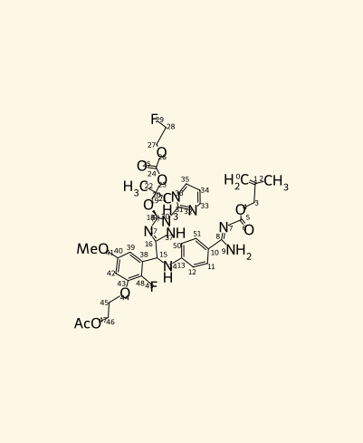 C=C(C)COC(=O)N=C(N)c1ccc(NC(C2=N[C@@H](OC(C)(C)OC(=O)OCCF)N(c3ncccn3)N2)c2cc(OC)cc(OCCOC(C)=O)c2F)cc1